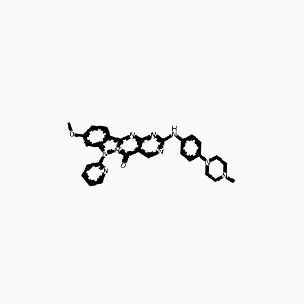 COc1ccc2c(c1)n(-c1ccccn1)n1c(=O)c3cnc(Nc4ccc(N5CCN(C)CC5)cc4)nc3nc21